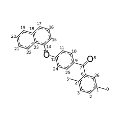 Cc1ccc(C)c(C(=O)c2ccc(Oc3cccc4ccccc34)cc2)c1